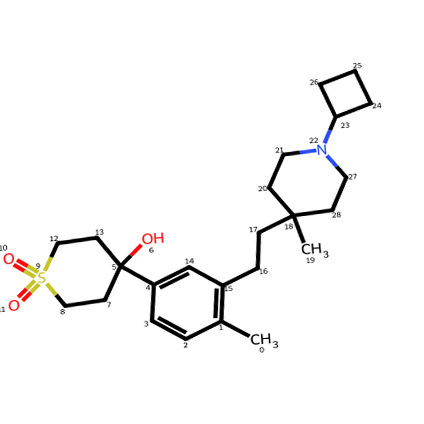 Cc1ccc(C2(O)CCS(=O)(=O)CC2)cc1CCC1(C)CCN(C2CCC2)CC1